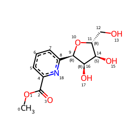 COC(=O)c1cccc([C@H]2O[C@H](CO)[C@@H](O)[C@H]2O)n1